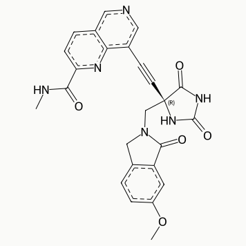 CNC(=O)c1ccc2cncc(C#C[C@]3(CN4Cc5ccc(OC)cc5C4=O)NC(=O)NC3=O)c2n1